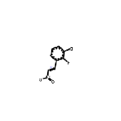 O=[N+]([O-])/C=C/c1cccc(Cl)c1F